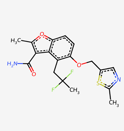 Cc1ncc(COc2ccc3oc(C)c(C(N)=O)c3c2CC(C)(F)F)s1